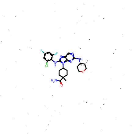 C[C@@H]1COCC[C@H]1Nc1ncc2nc(Nc3c(F)cc(F)cc3Cl)n(C3CCC(C)(C(N)=O)CC3)c2n1